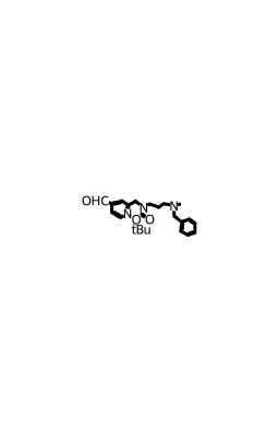 CN(CCCN(Cc1cc(C=O)ccn1)C(=O)OC(C)(C)C)Cc1ccccc1